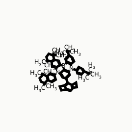 CC(C)(C)c1ccc(N2c3ccc(C(C)(C)C)cc3B3c4cc5c(cc4N(c4ccc6c(c4)C(C)(C)CCC6(C)C)c4cc(-c6c7c(cc8c6CC8)CC7)cc2c43)C(C)(C)CCC5(C)C)cc1